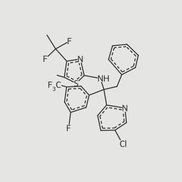 Cc1sc(NC(Cc2ccccc2)(c2cc(F)cc(C(F)(F)F)c2)c2ccc(Cl)cn2)nc1C(C)(F)F